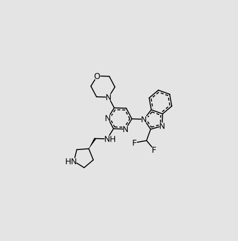 FC(F)c1nc2ccccc2n1-c1cc(N2CCOCC2)nc(NC[C@H]2CCNC2)n1